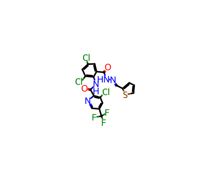 O=C(NN=Cc1cccs1)c1cc(Cl)cc(Cl)c1NC(=O)c1ncc(C(F)(F)F)cc1Cl